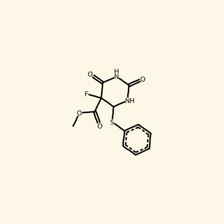 COC(=O)C1(F)C(=O)NC(=O)NC1Sc1ccccc1